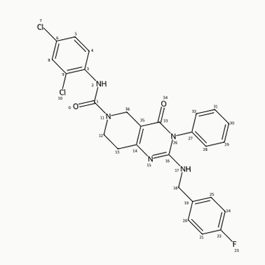 O=C(Nc1ccc(Cl)cc1Cl)N1CCc2nc(NCc3ccc(F)cc3)n(-c3ccccc3)c(=O)c2C1